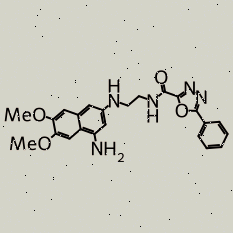 COc1cc2cc(NCCNC(=O)c3nnc(-c4ccccc4)o3)cc(N)c2cc1OC